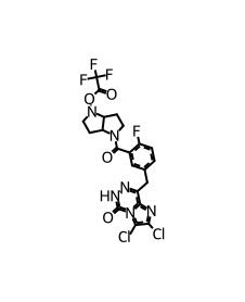 O=C(c1cc(Cc2n[nH]c(=O)n3c(Cl)c(Cl)nc23)ccc1F)N1CCC2C1CCN2OC(=O)C(F)(F)F